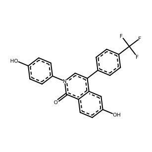 O=c1c2ccc(O)cc2c(-c2ccc(C(F)(F)F)cc2)cn1-c1ccc(O)cc1